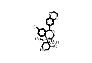 CC(=O)[C@H]1CNCC[C@]1(C(=O)O)[N@+]1(CC(C)(C)C)C(=O)COC(c2ccc3c(c2)OCCO3)c2cc(Cl)ccc21